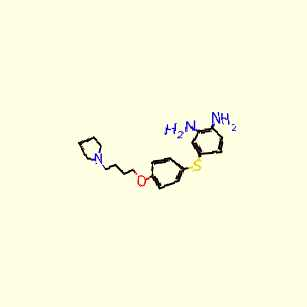 Nc1ccc(Sc2ccc(OCCCCN3CCCC3)cc2)cc1N